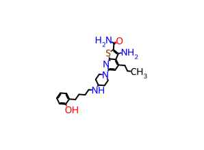 CCCc1cc(N2CCC(NCCCCc3ccccc3O)CC2)nc2sc(C(N)=O)c(N)c12